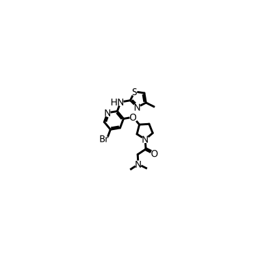 Cc1csc(Nc2ncc(Br)cc2OC2CCN(C(=O)CN(C)C)C2)n1